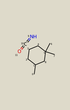 CC1CCCC(C)(C)C1.N=C=O